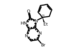 CC[C@@]1(n2c(=O)[nH]c3ncc(Br)nc32)C=CC=CC1